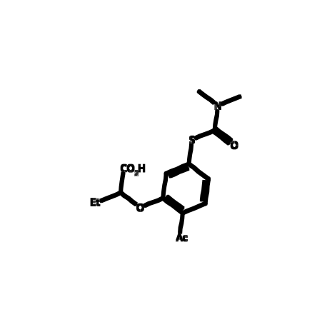 CCC(Oc1cc(SC(=O)N(C)C)ccc1C(C)=O)C(=O)O